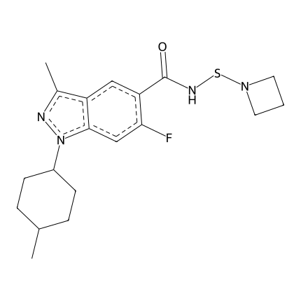 Cc1nn(C2CCC(C)CC2)c2cc(F)c(C(=O)NSN3CCC3)cc12